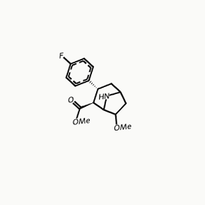 COC(=O)[C@@H]1C2NC(CC2OC)C[C@H]1c1ccc(F)cc1